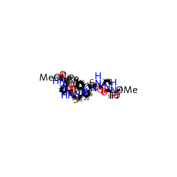 COC(=O)N[C@H](C(=O)N1CCC[C@H]1C(=O)Nc1nc([C@@H]2CC[C@@H](c3csc(NC(=O)[C@@H]4CCCN4C(=O)[C@@H](NC(=O)OC)C(C)C)n3)N2c2ccc(C(C)(C)C)cc2)cs1)C(C)C